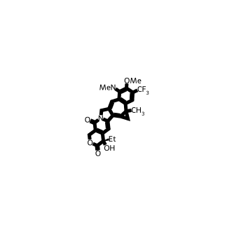 CC[C@@]1(O)C(=O)OCc2c1cc1n(c2=O)CC2=Cc3c(cc(C(F)(F)F)c(OC)c3NC)C3(C)CC3=C21